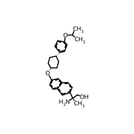 CC(C)Oc1ccc([C@H]2CC[C@@H](Oc3ccc4cc([C@@](C)(N)CO)ccc4c3)CC2)cc1